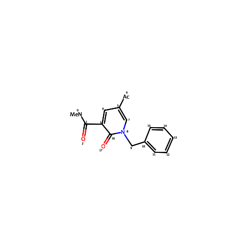 CNC(=O)c1cc(C(C)=O)cn(Cc2ccccc2)c1=O